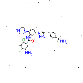 Cc1c(F)c(N)cc(C(=O)Nc2cc(-n3cc(Cc4ccc(C(C)(C)N)cc4)nn3)ccc2N2CCN(C)CC2)c1Cl